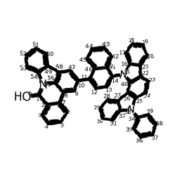 OC1c2ccccc2-c2cc(-c3ccc(-n4c5ccccc5c5ccc6c(c7ccccc7n6-c6ccccc6)c54)c4ccccc34)cc3c4ccccc4n1c23